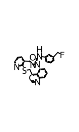 FCc1cccc(Nc2nnc(-c3cccnc3SCc3ccnc4ccccc34)o2)c1